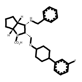 O=C(O)N1[C@@H]2CCC[C@@H]2[C@H](NCc2ccccc2)[C@@H]1COC1CCC(c2cccc(F)c2)CC1